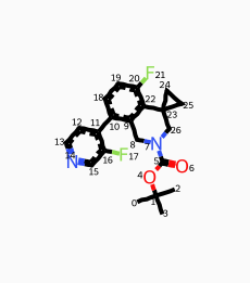 CC(C)(C)OC(=O)N1Cc2c(-c3ccncc3F)ccc(F)c2C2(CC2)C1